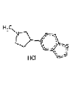 CN1CCC(c2ccc3sccc3c2)C1.Cl